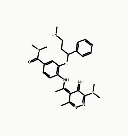 CNCCC(Oc1cc(C(=O)N(C)C)ccc1N/C(C)=C1\C(=N)C(N(C)C)=NN=C1C)c1ccccc1